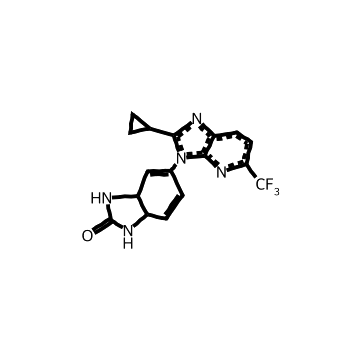 O=C1NC2C=CC(n3c(C4CC4)nc4ccc(C(F)(F)F)nc43)=CC2N1